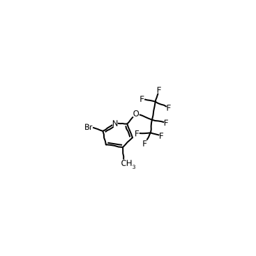 Cc1cc(Br)nc(OC(F)(C(F)(F)F)C(F)(F)F)c1